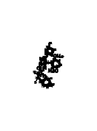 COc1cccc(OC)c1-n1c(NS(=O)(=O)[C@H](C)[C@@H](C)c2ncc(F)cn2)nnc1-c1nc(C)cs1